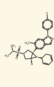 Cc1cc2c(cnn2-c2ccc(F)cc2)cc1[C@]12CN(S(=O)(=O)N(C)C)C[C@H]1[C@@H]2C1C=CC=CC1